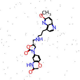 COc1ccc2nccc(CCCNC[C@H]3CN(c4ccc5c(c4)NC(=O)CO5)C(=O)O3)c2n1